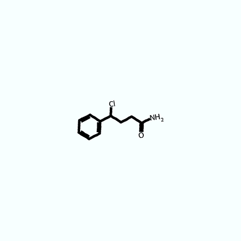 NC(=O)CCC(Cl)c1ccccc1